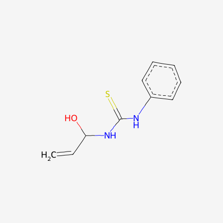 C=CC(O)NC(=S)Nc1ccccc1